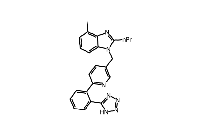 CCCc1nc2c(C)cccc2n1Cc1ccc(-c2ccccc2-c2nnn[nH]2)nc1